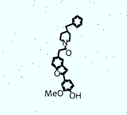 COc1cc(-c2cc3cc(CC(=O)N4CCC(Cc5ccccc5)CC4)ccc3o2)ccc1O